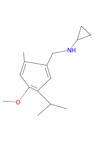 COc1cc(C)c(CNC2CC2)cc1C(C)C